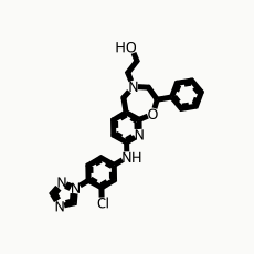 OCCN1Cc2ccc(Nc3ccc(-n4cncn4)c(Cl)c3)nc2OC(c2ccccc2)C1